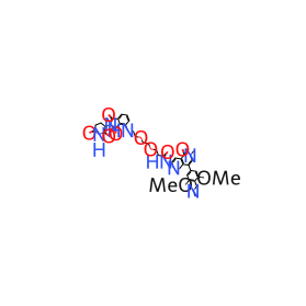 COc1cc(-c2cn(C)c(=O)c3cc(NC(=O)CCOCCOCCNc4cccc5c4C(=O)N(C4CCC(=O)NC4=O)C5=O)ncc23)cc(OC)c1CN(C)C